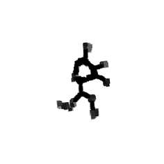 CCOC(=O)C(OCC)c1ncc(Cl)c(Cl)c1Cl